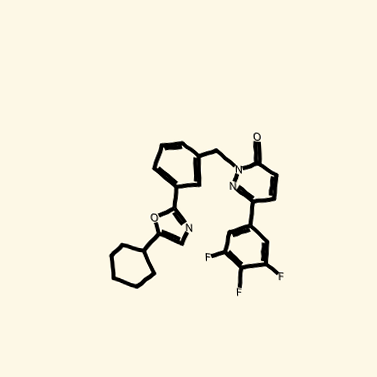 O=c1ccc(-c2cc(F)c(F)c(F)c2)nn1Cc1cccc(-c2ncc(C3CCCCC3)o2)c1